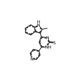 Cc1[nH]c2ccccc2c1-c1cc(-c2ccncc2)[nH]c(=S)n1